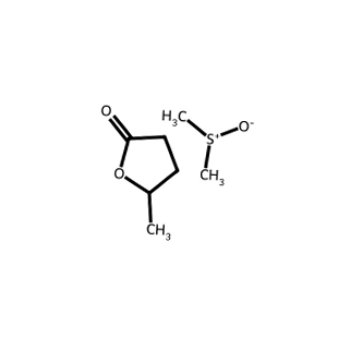 CC1CCC(=O)O1.C[S+](C)[O-]